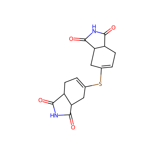 O=C1NC(=O)C2CC(SC3=CCC4C(=O)NC(=O)C4C3)=CCC12